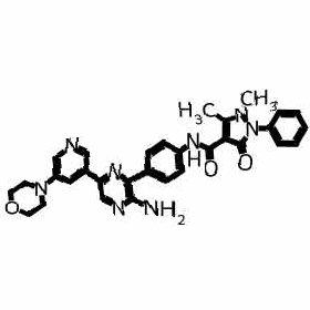 Cc1c(C(=O)Nc2ccc(-c3nc(-c4cncc(N5CCOCC5)c4)cnc3N)cc2)c(=O)n(-c2ccccc2)n1C